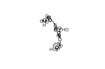 Cn1c(=O)n([C@@H]2CCC(=O)NC2=O)c2ccc(CCCN3Cc4cnc(-c5ccc6cn(C7CCC(CNC(=O)c8cc(F)c(O)c(F)c8F)CC7)nc6c5)cc4C3)cc21.O=CO